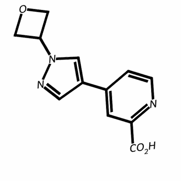 O=C(O)c1cc(-c2cnn(C3COC3)c2)ccn1